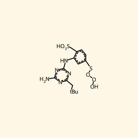 CC(C)(C)Cc1nc(N)nc(Nc2cc(SOOO)ccc2S(=O)(=O)O)n1